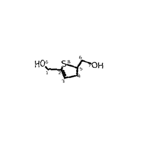 OCC1=CCC(CO)S1